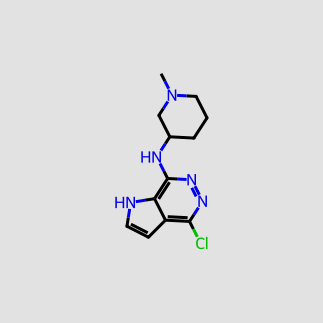 CN1CCCC(Nc2nnc(Cl)c3cc[nH]c23)C1